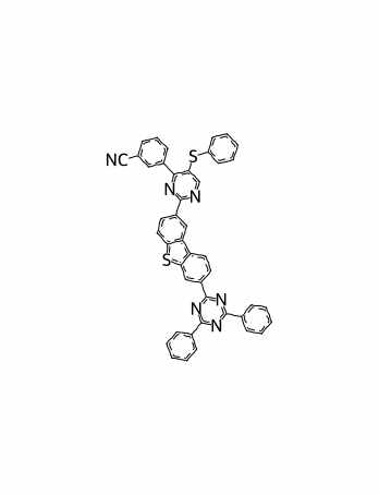 N#Cc1cccc(-c2nc(-c3ccc4sc5cc(-c6nc(-c7ccccc7)nc(-c7ccccc7)n6)ccc5c4c3)ncc2Sc2ccccc2)c1